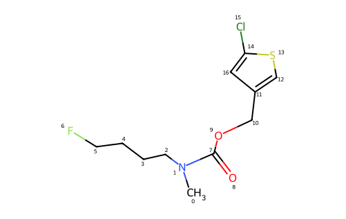 CN(CCCCF)C(=O)OCc1csc(Cl)c1